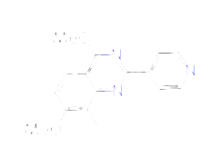 COc1ccc2c(OC)nc(-c3ccncc3)nc2c1C